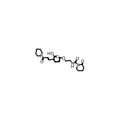 O=C(/C=C/c1ccc(OCCNC(=O)N2CCCCC2=O)cc1O)N1CCCCC1